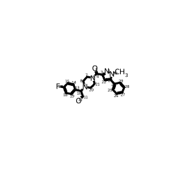 Cn1nc(C(=O)N2CCN(C(C=O)c3ccc(F)cc3)CC2)cc1-c1ccccc1